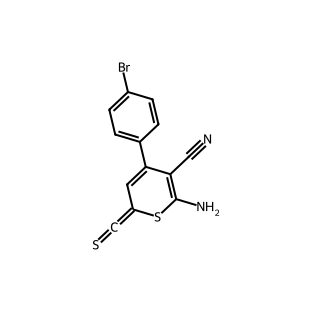 N#CC1=C(N)SC(=C=S)C=C1c1ccc(Br)cc1